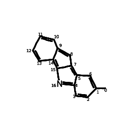 Cc1ccc2c(c1)=C1C=c3ccccc3=C1N=2